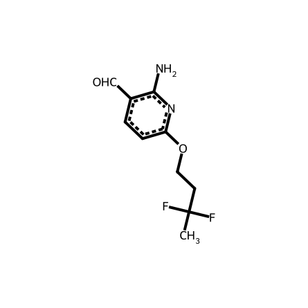 CC(F)(F)CCOc1ccc(C=O)c(N)n1